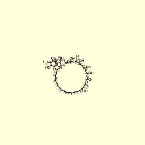 C[C@@H]1[C@H](O)[C@@H](C)/C=C/C=C/C=C/C=C/C=C/C=C/C=C/[C@H](O[C@@H]2O[C@H](C)[C@@H](O)[C@H](N)[C@@H]2O)C[C@@H]2O[C@](O)(C[C@@H](O)C[C@@H](O)C(O)CC[C@@H](O)C[C@@H](O)CC(=O)O[C@H]1C)C[C@H](O)[C@H]2C(=O)O